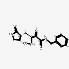 CN[C@@H](C[C@@H]1CCNC1=O)C(=O)C(=O)NCc1ccccc1